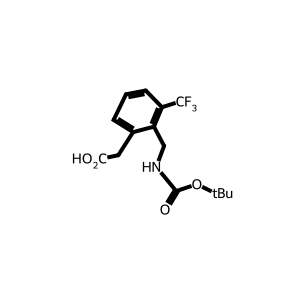 CC(C)(C)OC(=O)NCc1c(CC(=O)O)cccc1C(F)(F)F